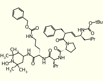 CC(C)C[C@@H](/C=C/[C@H](Cc1ccccc1)C(=O)N1CCC[C@@H]1C(=O)N[C@H](C(=O)N[C@@H](CCCNC(=O)OCc1ccccc1)C(=O)NC1CC(C)(C)N(O)C(C)(C)C1)C(C)C)NC(=O)OC(C)(C)C